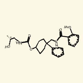 COc1ccccc1C(=O)NCC1(c2ccccc2)CCC(OC(=O)NC[C@@H](C)O)CC1